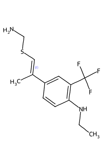 CCNc1ccc(/C(C)=C/SCN)cc1C(F)(F)F